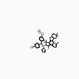 CC1=CC=c2c1c1c(c3c2=C(C)[CH]([Zr+2](=[C](c2ccc(Cl)cc2)c2ccc(Cl)cc2)[CH]2C=CC=C2)C3(C)C)CC2=C1CC(C)(C)C=C2.[Cl-].[Cl-]